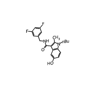 CCCCn1c(C)c(C(=O)NCc2cc(F)cc(F)c2)c2cc(O)ccc21